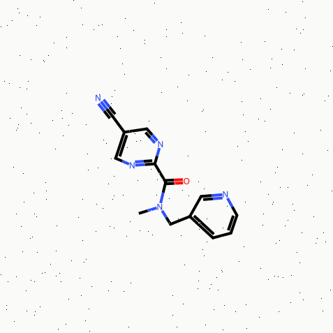 CN(Cc1cccnc1)C(=O)c1ncc(C#N)cn1